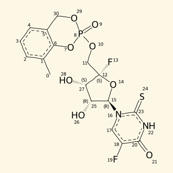 Cc1cccc2c1OP(=O)(OC[C@@]1(F)O[C@@H](n3cc(F)c(=O)[nH]c3=S)[C@H](O)[C@@H]1O)OC2